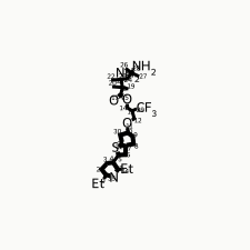 CCc1ccc(-c2cc3ccc(OCC(COC(=O)C(C)(C)C(C)(N)CC(C)(C)N)C(F)(F)F)cc3s2)c(CC)n1